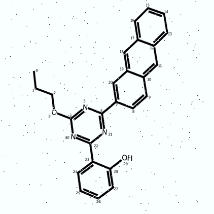 CCCOc1nc(-c2ccc3cc4ccccc4cc3c2)nc(-c2ccccc2O)n1